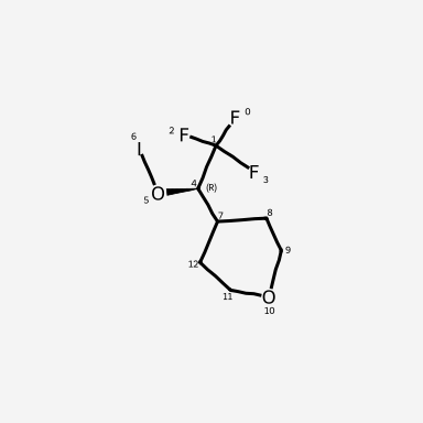 FC(F)(F)[C@H](OI)C1CCOCC1